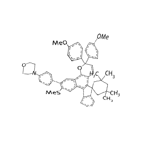 COc1ccc(C2(c3ccc(OC)cc3)C=Cc3c4c(c5cc(SC)c(-c6ccc(N7CCOCC7)cc6)cc5c3O2)-c2ccccc2C42CC(C)(C)CC(C)(C)C2)cc1